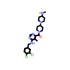 CNC1CCN(C2CCN(C(=O)c3ncnc(NCc4ccc(Cl)c(Cl)c4)c3C)CC2)CC1